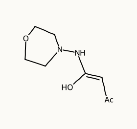 CC(=O)/C=C(\O)NN1CCOCC1